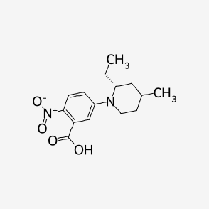 CC[C@@H]1CC(C)CCN1c1ccc([N+](=O)[O-])c(C(=O)O)c1